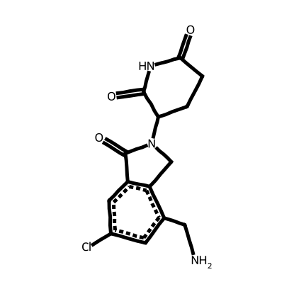 NCc1cc(Cl)cc2c1CN(C1CCC(=O)NC1=O)C2=O